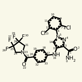 NC(=O)c1nn(-c2c(Cl)cccc2Cl)cc1Nc1ccc(C(=O)N2CC(F)(F)C(F)(F)C2)cc1